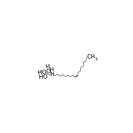 CCCCCCCC/C=C\CCCCCCCCNCC(O)(O)O